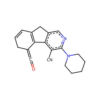 N#Cc1c(N2CCCCC2)ncc2c1C1=C(C=CCC1=C=O)C2